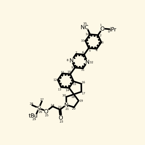 CC(C)Oc1ccc(-c2cnc(-c3cccc4c3CCC43CCN(C(=O)CO[Si](C)(C)C(C)(C)C)C3)cn2)cc1C#N